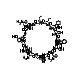 CCCC[C@H]1C(=O)N(C)[C@@H](CCCC)C(=O)N[C@@H](C)C(=O)N[C@H](C(=O)NCC(N)=O)CSCC(=O)N[C@@H](Cc2ccc(O)cc2)C(=O)N2CCNC[C@H]2C(=O)N[C@@H](CC(N)=O)C(=O)N2CCC[C@H]2C(=O)N[C@@H](Cc2cnc[nH]2)C(=O)N[C@@H](CCC(N)=O)C(=O)N2C[C@H](O)C[C@H]2C(=O)N[C@@H](Cc2c[nH]c3ccccc23)C(=O)N[C@@H](CO)C(=O)N[C@@H](Cc2c[nH]c3ccccc23)C(=O)N1C